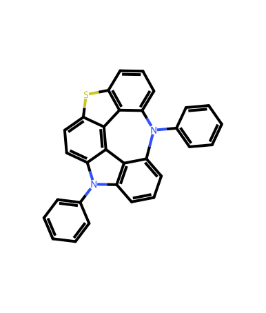 c1ccc(-n2c3cccc4sc5ccc6c(c5c43)c3c2cccc3n6-c2ccccc2)cc1